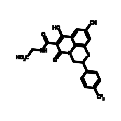 N#Cc1cc2c3c(c1)c(O)c(C(=O)NCC(=O)O)c(=O)n3CC(c1ccc(C(F)(F)F)cc1)S2